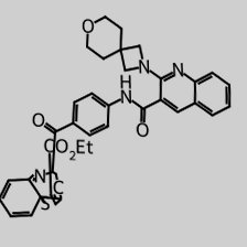 CCOC(=O)C1=CC2CCC(C(=O)c3ccc(NC(=O)c4cc5ccccc5nc4N4CC5(CCOCC5)C4)cc3)N=C3C=CC=CC32S1